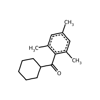 Cc1cc(C)c(C(=O)[C]2CCCCC2)c(C)c1